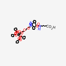 O=C(O)CCCCCNC(=O)OC1Cc2ccccc2-c2nnn(CCOCCOCCO[C@@H](O)[C@@]3(OC(=O)c4ccccc4)C(COC(=O)c4ccccc4)[C@@H](OC(=O)c4ccccc4)C3OC(=O)c3ccccc3)c2-c2ccccc21